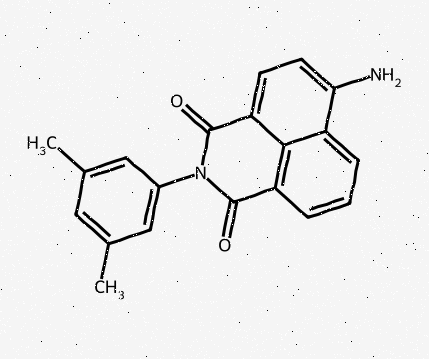 Cc1cc(C)cc(N2C(=O)c3cccc4c(N)ccc(c34)C2=O)c1